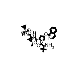 CC[C@@H]1C[C@]1(NC(=O)[C@@H]1C[C@@H](Oc2nccc3ccccc23)CN1C(=O)[C@@H](N)C(C)(C)C)C(=O)NS(=O)(=O)C1CC1